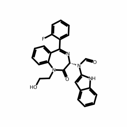 O=CN(c1cc2ccccc2[nH]1)[C@H]1N=C(c2ccccc2F)c2ccccc2N(CCO)C1=O